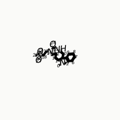 CN(C)[C@]1(c2ccccc2)CC[C@]2(CC1)CN(CCS(C)(=O)=O)C(=O)N2